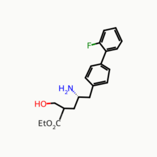 CCOC(=O)C(CO)C[C@H](N)Cc1ccc(-c2ccccc2F)cc1